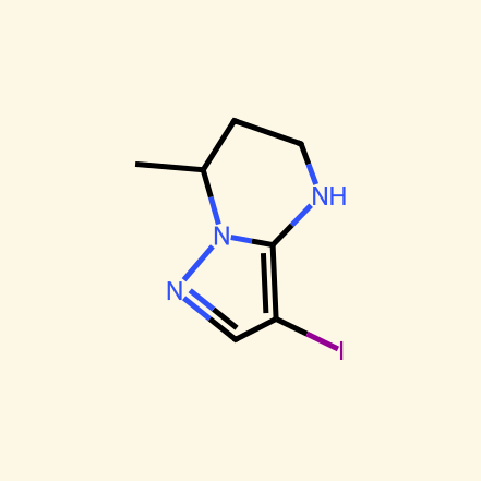 CC1CCNc2c(I)cnn21